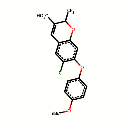 CCCCOc1ccc(Oc2cc3c(cc2Cl)C=C(C(=O)O)C(C(F)(F)F)O3)cc1